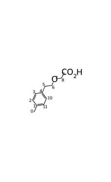 Cc1ccc(CCOCC(=O)O)cc1